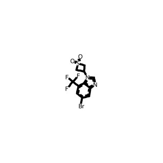 O=S1(=O)CC(n2cnc3cc(Br)cc(C(F)(F)F)c32)C1